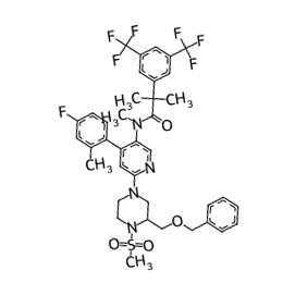 Cc1cc(F)ccc1-c1cc(N2CCN(S(C)(=O)=O)C(COCc3ccccc3)C2)ncc1N(C)C(=O)C(C)(C)c1cc(C(F)(F)F)cc(C(F)(F)F)c1